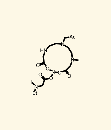 CCN(I)CC(=O)ON1OC(=O)CNCCN(CC(C)=O)CCN(I)CC(=O)O1